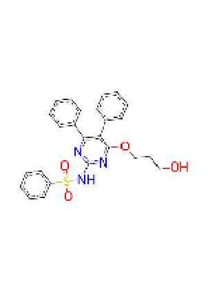 O=S(=O)(Nc1nc(OCCCO)c(-c2ccccc2)c(-c2ccccc2)n1)c1ccccc1